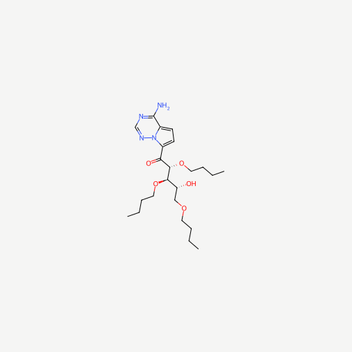 CCCCOC[C@@H](O)[C@@H](OCCCC)[C@@H](OCCCC)C(=O)c1ccc2c(N)ncnn12